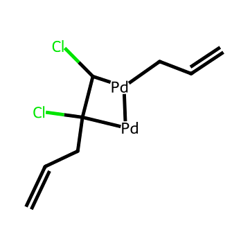 C=C[CH2][Pd]1[Pd][C](Cl)(CC=C)[CH]1Cl